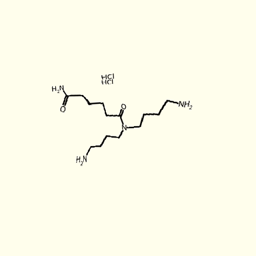 Cl.Cl.NCCCCN(CCCCN)C(=O)CCCCC(N)=O